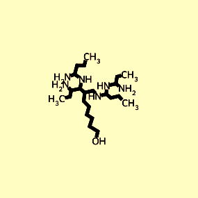 CCCC(N)NC(C(N)CC)C(CCCCCCO)CNC(CCC)NC(N)CC